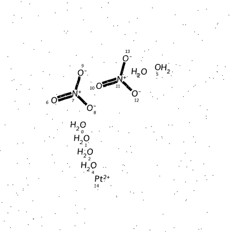 O.O.O.O.O.O.O=[N+]([O-])[O-].O=[N+]([O-])[O-].[Pt+2]